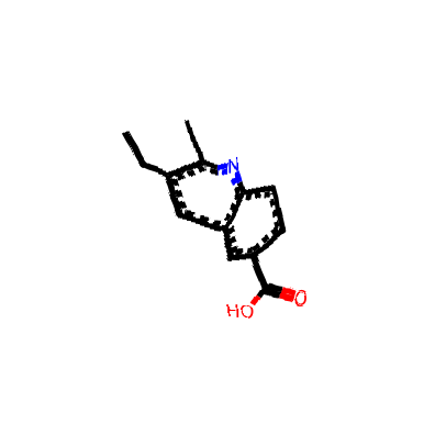 CCc1cc2cc(C(=O)O)ccc2nc1C